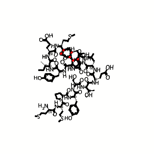 CC[C@H](C)[C@H](NC(=O)[C@H](CC(C)C)NC(=O)[C@H](CCC(=O)O)NC(=O)[C@@H](NC(=O)[C@H](CO)NC(=O)[C@H](Cc1ccc(O)cc1)NC(=O)[C@@H]1CCCN1C(=O)[C@H](CCSC)NC(=O)[C@@H](N)CCSC)[C@@H](C)O)C(=O)N[C@@H](Cc1ccccc1)C(=O)N[C@@H](Cc1ccc(O)cc1)C(=O)N[C@H](C(=O)N[C@@H](CCC(=O)O)C(=O)N[C@@H](CCSC)C(=O)N[C@@H](CC(=O)O)C(=O)N1CCC[C@H]1C(=O)O)[C@@H](C)CC